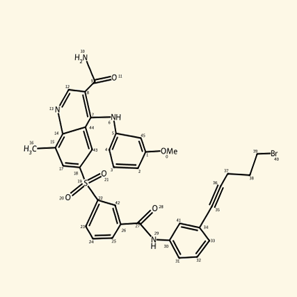 COc1cccc(Nc2c(C(N)=O)cnc3c(C)cc(S(=O)(=O)c4cccc(C(=O)Nc5cccc(C#CCCCBr)c5)c4)cc23)c1